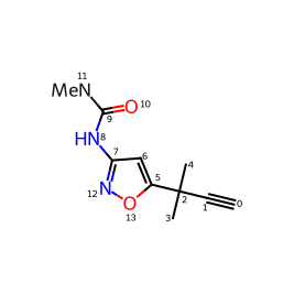 C#CC(C)(C)c1cc(NC(=O)NC)no1